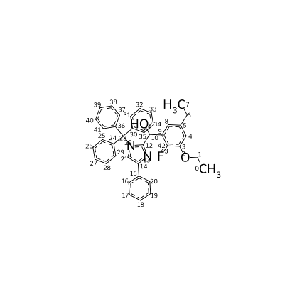 CCOc1cc(CC)cc(C(O)c2nc(-c3ccccc3)cn2C(c2ccccc2)(c2ccccc2)c2ccccc2)c1F